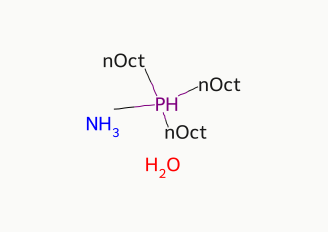 CCCCCCCC[PH](C)(CCCCCCCC)CCCCCCCC.N.O